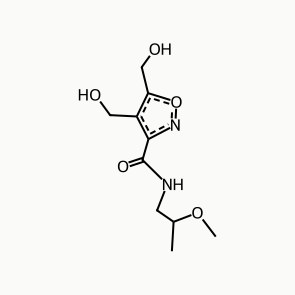 COC(C)CNC(=O)c1noc(CO)c1CO